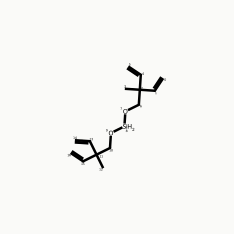 C=CC(C)(C=C)CO[SiH2]OCC(C)(C=C)C=C